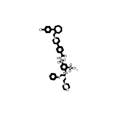 O=C(NS(=O)(=O)c1ccc(N[C@H](CCN2CCOCC2)CSc2ccccc2)c(S(=O)(=O)C(F)(F)F)c1)c1ccc(C2=CCN(CC3=C(c4ccc(Cl)cc4)CCCCC3)CC2)cc1